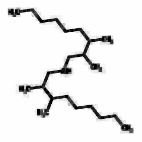 CCCCCCC(C)C(C)[CH2][AlH][CH2]C(C)C(C)CCCCCC